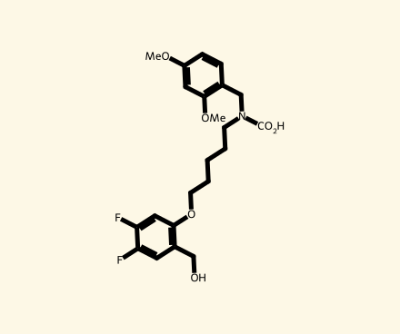 COc1ccc(CN(CCCCCOc2cc(F)c(F)cc2CO)C(=O)O)c(OC)c1